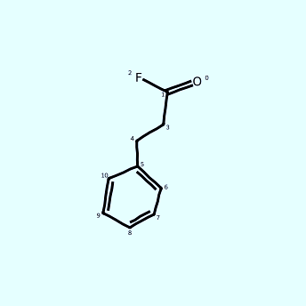 O=C(F)CCc1ccccc1